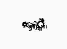 CC(C)C(NC(=O)OCc1ccccc1)C(=O)NC1CCc2sccc2CCNC(=O)C1=O